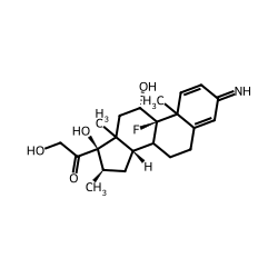 C[C@@H]1C[C@H]2C3CCC4=CC(=N)C=CC4(C)[C@@]3(F)[C@@H](O)CC2(C)[C@@]1(O)C(=O)CO